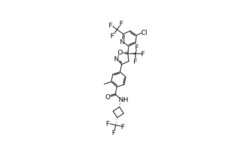 Cc1cc(C2=NO[C@@](c3cc(Cl)cc(C(F)(F)F)n3)(C(F)(F)F)C2)ccc1C(=O)N[C@H]1C[C@@H](C(F)(F)F)C1